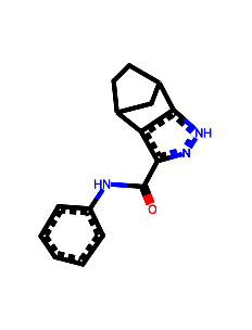 O=C(Nc1ccccc1)c1n[nH]c2c1C1CCC2C1